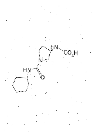 O=C(O)N[C@@H]1CCN(C(=O)NC2CCCCC2)C1